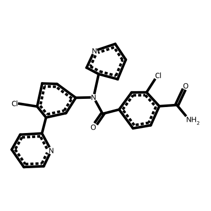 NC(=O)c1ccc(C(=O)N(c2cccnc2)c2ccc(Cl)c(-c3ccccn3)c2)cc1Cl